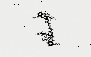 COc1cccc(OC)c1Cn1cc2nc(N)nc(NCCOCNc3nc(NCCCO)c4nn(Cc5c(OC)cccc5OC)cc4n3)c2n1